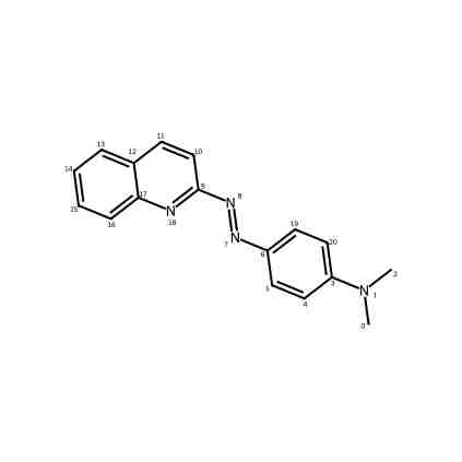 CN(C)c1ccc(N=Nc2ccc3ccccc3n2)cc1